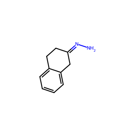 NN=C1CCc2ccccc2C1